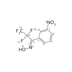 O=[N+]([O-])c1cccc(/C(=N/O)C(F)(F)C(F)(F)F)c1